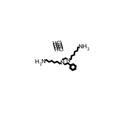 Cl.Cl.Cl.Cl.NCCCCCCN1CCN(CCCCCCN)C(c2ccccc2)C1